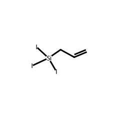 C=CC[Si](I)(I)I